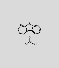 O=[N+]([O-])O.c1ccc2c(c1)SC1=NCCCN12